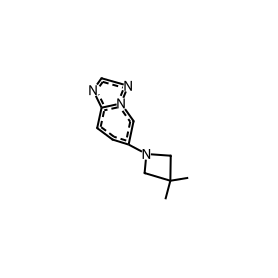 CC1(C)CN(c2ccc3ncnn3c2)C1